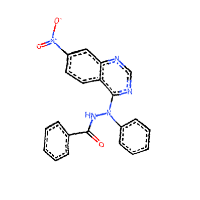 O=C(NN(c1ccccc1)c1ncnc2cc([N+](=O)[O-])ccc12)c1ccccc1